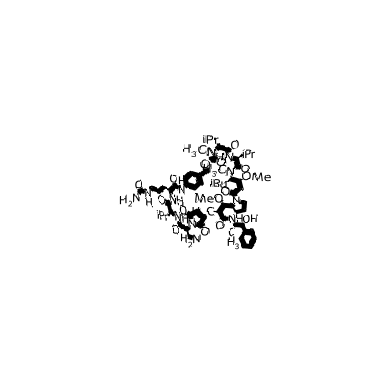 CC[C@H](C)[C@@H]([C@@H](CC(=O)N1CCC[C@H]1[C@H](OC)[C@@H](C)C(=O)N[C@H](C)[C@@H](O)c1ccccc1)OC)N(C)C(=O)[C@@H](NC(=O)[C@H](C(C)C)N(C)C(=O)OCc1ccc(NC(=O)[C@H](CCCNC(N)=O)NC(=O)[C@@H](NC(=O)[C@H](CN)N2C(=O)C=CC2=O)C(C)C)cc1)C(C)C